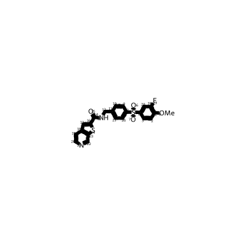 COc1ccc(S(=O)(=O)c2ccc(CNC(=O)c3cc4ccncc4s3)cc2)cc1F